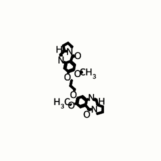 COc1cc2c(cc1OCCCOc1cc3c(cc1OC)C(=O)N1CCC[C@@H]1C=N3)N=C[C@@H]1CCCN1C2=O